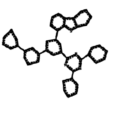 c1ccc(-c2cccc(-c3cc(-c4nc(-c5ccccc5)nc(-c5ccccc5)n4)cc(-c4cccc5c4sc4ccccc45)c3)c2)cc1